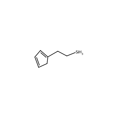 [SiH3]CCC1=CC=CC1